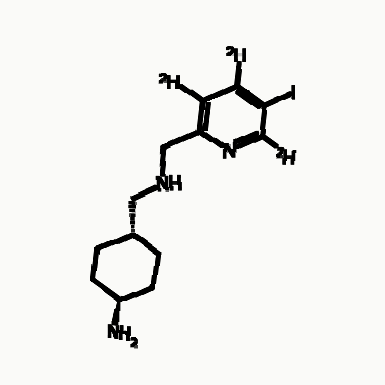 [2H]c1nc(CNC[C@H]2CC[C@H](N)CC2)c([2H])c([2H])c1I